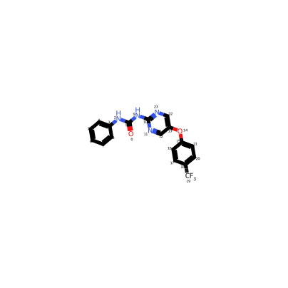 O=C(Nc1ccccc1)Nc1ncc(Oc2ccc(C(F)(F)F)cc2)cn1